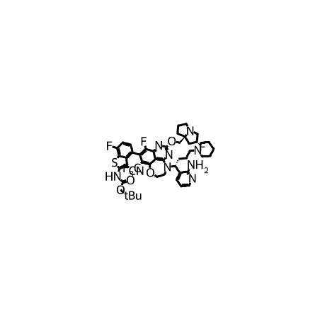 CC(C)(C)OC(=O)Nc1sc2c(F)ccc(-c3c(C(F)(F)F)c4c5c(nc(OC[C@@]67CCCN6C[C@H](F)C7)nc5c3F)N([C@H](CCCN3CCCCC3)c3cccnc3N)CCO4)c2c1C#N